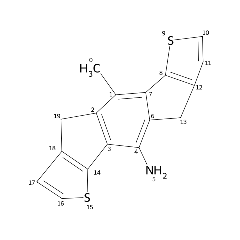 Cc1c2c(c(N)c3c1-c1sccc1C3)-c1sccc1C2